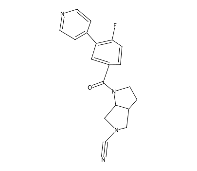 N#CN1CC2CCN(C(=O)c3ccc(F)c(-c4ccncc4)c3)C2C1